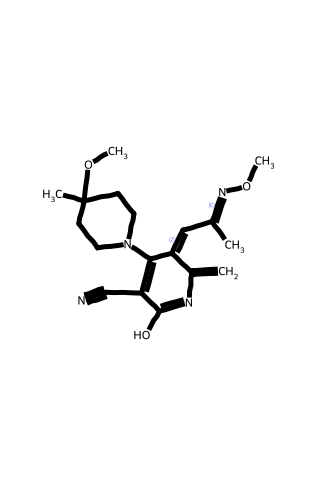 C=c1nc(O)c(C#N)c(N2CCC(C)(OC)CC2)/c1=C/C(C)=N/OC